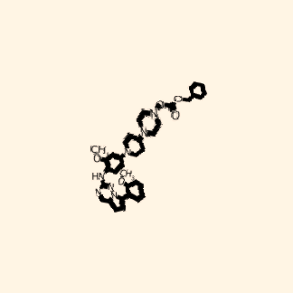 COc1cc(N2CCC(N3CCN(OC(=O)OCc4ccccc4)CC3)CC2)ccc1Nc1ncc2ccc(-c3ccccc3OC)n2n1